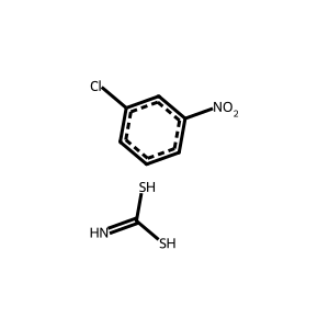 N=C(S)S.O=[N+]([O-])c1cccc(Cl)c1